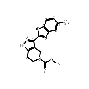 CC(C)(C)OC(=O)N1CCc2[nH]nc(-c3nc4cc(C(F)(F)F)ccc4[nH]3)c2C1